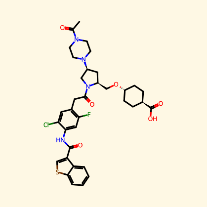 CC(=O)N1CCN([C@H]2C[C@@H](CO[C@H]3CC[C@H](C(=O)O)CC3)N(C(=O)Cc3cc(Cl)c(NC(=O)c4csc5ccccc45)cc3F)C2)CC1